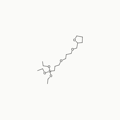 CCO[Si](CCCOCCCOCC1CCCO1)(OCC)OCC